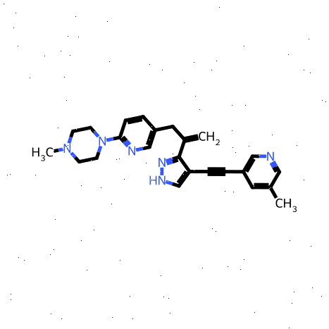 C=C(Cc1ccc(N2CCN(C)CC2)nc1)c1n[nH]cc1C#Cc1cncc(C)c1